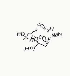 O=C(O)CC(O)C(=O)O.O=C(O)CCC(=O)O.[NaH]